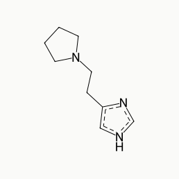 c1nc(CCN2CCCC2)c[nH]1